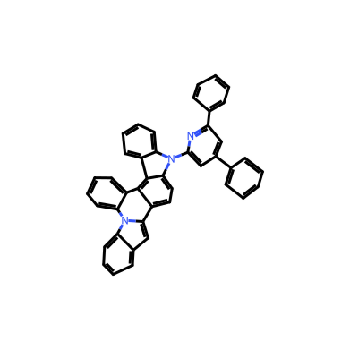 c1ccc(-c2cc(-c3ccccc3)nc(-n3c4ccccc4c4c5c6ccccc6n6c7ccccc7cc6c5ccc43)c2)cc1